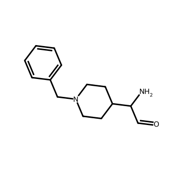 NC(C=O)C1CCN(Cc2ccccc2)CC1